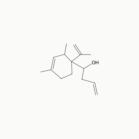 C=CCC(O)C1(C(=C)C)CCC(C)=CC1C